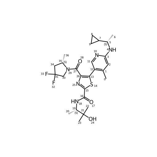 Cc1cc(N[C@@H](C)C2CC2)ncc1-c1sc(C(=O)N[C@@H](C)C(C)(C)O)nc1C(=O)N1CC(F)(F)C[C@@H]1C